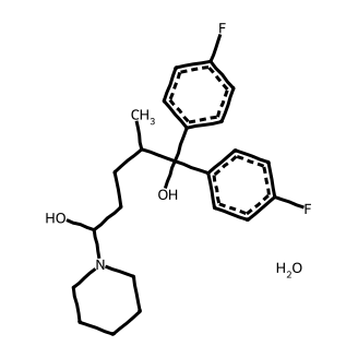 CC(CCC(O)N1CCCCC1)C(O)(c1ccc(F)cc1)c1ccc(F)cc1.O